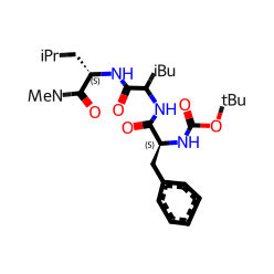 CCC(C)C(NC(=O)[C@H](Cc1ccccc1)NC(=O)OC(C)(C)C)C(=O)N[C@@H](CC(C)C)C(=O)NC